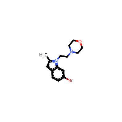 Cc1cc2ccc(Br)cc2n1CCN1CCOCC1